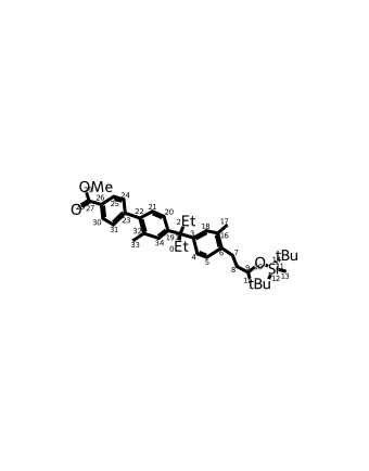 CCC(CC)(c1ccc(CCC(O[Si](C)(C)C(C)(C)C)C(C)(C)C)c(C)c1)c1ccc(-c2ccc(C(=O)OC)cc2)c(C)c1